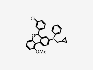 COc1cccc2c1-c1ccc(N(CC3CC3)c3ccccc3)cc1C(c1cccc(Cl)c1)O2